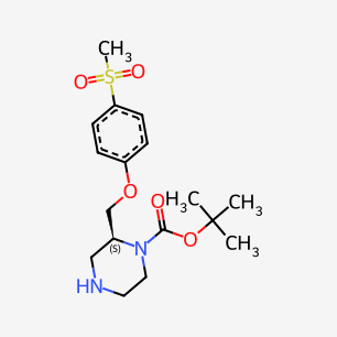 CC(C)(C)OC(=O)N1CCNC[C@H]1COc1ccc(S(C)(=O)=O)cc1